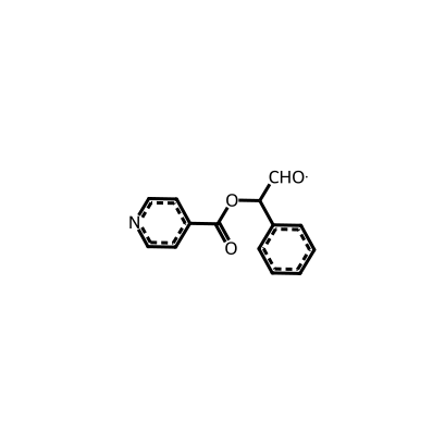 O=[C]C(OC(=O)c1ccncc1)c1ccccc1